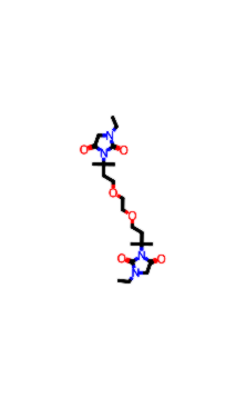 CCN1CC(=O)N(C(C)(C)CCOCCOCCC(C)(C)N2C(=O)CN(CC)C2=O)C1=O